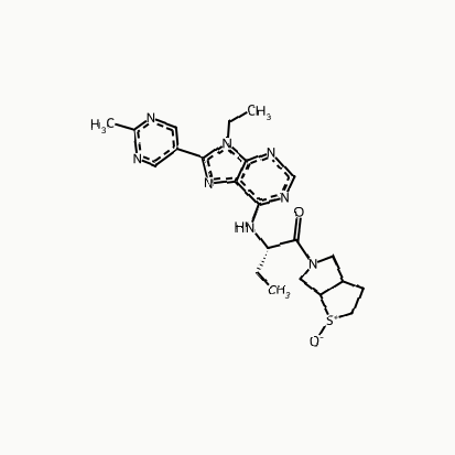 CC[C@H](Nc1ncnc2c1nc(-c1cnc(C)nc1)n2CC)C(=O)N1CC2CC[S+]([O-])C2C1